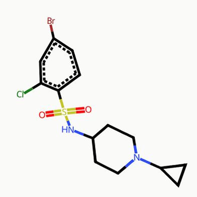 O=S(=O)(NC1CCN(C2CC2)CC1)c1ccc(Br)cc1Cl